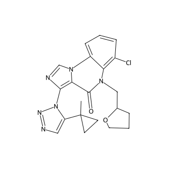 CC1(c2cnnn2-c2ncn3c2c(=O)n(CC2CCCO2)c2c(Cl)cccc23)CC1